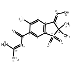 Cc1cc2c(cc1C(=O)N=C(N)N)S(=O)(=O)C(C)(C)/C2=N\O